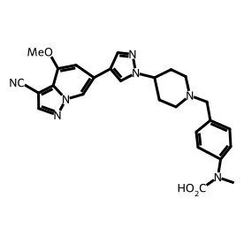 COc1cc(-c2cnn(C3CCN(Cc4ccc(N(C)C(=O)O)cc4)CC3)c2)cn2ncc(C#N)c12